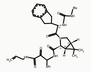 C=CCNC(=O)C(=O)C(CCC)NC(=O)[C@@H]1[C@@H]2[C@H](CN1C(=O)[C@@H](NC(=O)NC(C)CC)C1Cc3ccccc3C1)C2(C)C